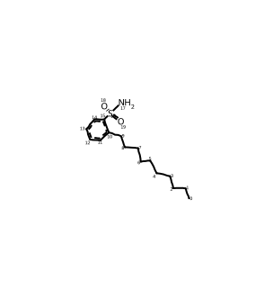 CCCCCCCCCCc1ccccc1S(N)(=O)=O